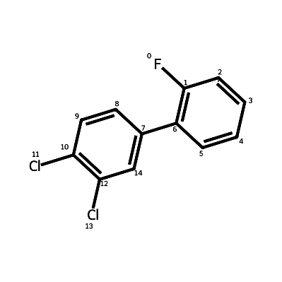 Fc1[c]cccc1-c1ccc(Cl)c(Cl)c1